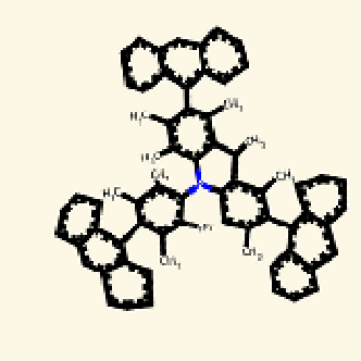 CCCc1c(C)c(-c2c3ccccc3cc3ccccc23)c(C)c(C)c1N1c2cc(C)c(-c3c4ccccc4cc4ccccc34)c(C)c2C(C)c2c(C)c(-c3c4ccccc4cc4ccccc34)c(C)c(C)c21